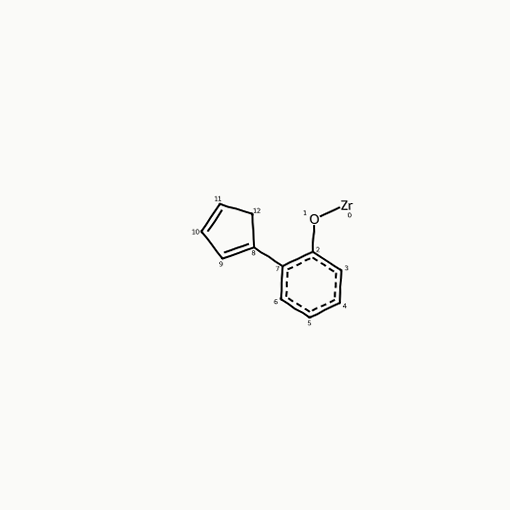 [Zr][O]c1ccccc1C1=CC=CC1